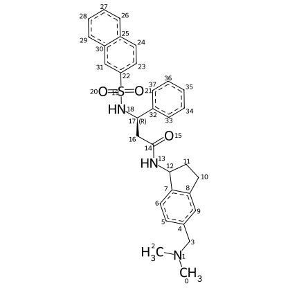 CN(C)Cc1ccc2c(c1)CCC2NC(=O)C[C@@H](NS(=O)(=O)c1ccc2ccccc2c1)c1ccccc1